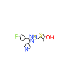 Cc1c(O)csc1CSc1nc(-c2ccncc2)c(-c2ccc(F)cc2)[nH]1